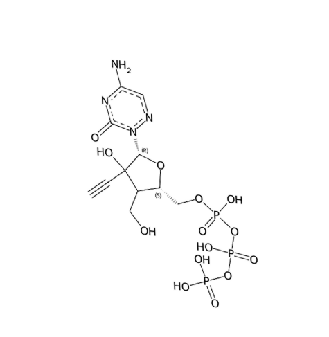 C#CC1(O)C(CO)[C@@H](COP(=O)(O)OP(=O)(O)OP(=O)(O)O)O[C@H]1n1ncc(N)nc1=O